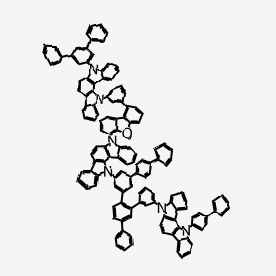 c1ccc(-c2ccc(-c3cc(-c4ccc(-c5ccccc5)cc4-c4cccc(-n5c6ccccc6c6c5ccc5c7ccccc7n(-c7ccc(-c8ccccc8)cc7)c56)c4)cc(-n4c5ccccc5c5ccc6c(c7ccccc7n6-c6cccc7c6oc6cccc(-c8cccc(-n9c%10ccccc%10c%10ccc%11c(c%12ccccc%12n%11-c%11cc(-c%12ccccc%12)cc(-c%12ccccc%12)c%11)c%109)c8)c67)c54)c3)cc2)cc1